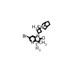 CC1(C)C(=O)N([C@H]2C[C@@](C)(N3CC4CCC(C4)C3)C2)c2cc(Br)cnc21